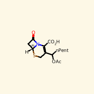 CCCCCC(OC(C)=O)C1=C(C(=O)O)N2C(=O)C[C@H]2SC1